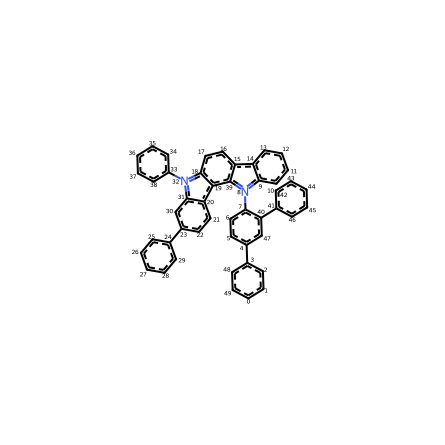 c1ccc(-c2ccc(-n3c4ccccc4c4ccc5c(c6ccc(-c7ccccc7)cc6n5-c5ccccc5)c43)c(-c3ccccc3)c2)cc1